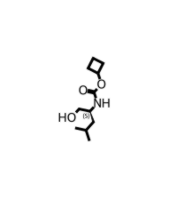 CC(C)C[C@@H](CO)NC(=O)OC1CCC1